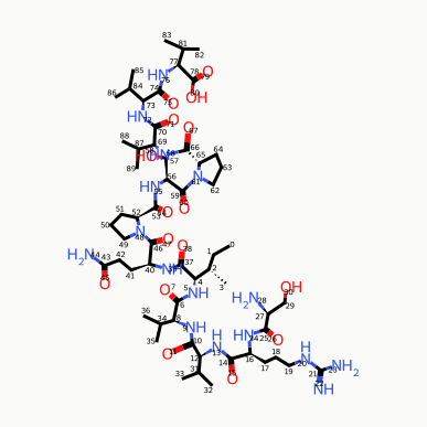 CC[C@H](C)[C@H](NC(=O)[C@@H](NC(=O)[C@@H](NC(=O)[C@H](CCCNC(=N)N)NC(=O)[C@@H](N)CO)C(C)C)C(C)C)C(=O)N[C@@H](CCC(N)=O)C(=O)N1CCC[C@H]1C(=O)N[C@@H](CO)C(=O)N1CCC[C@H]1C(=O)N[C@H](C(=O)N[C@H](C(=O)N[C@H](C(=O)O)C(C)C)C(C)C)C(C)C